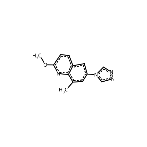 COc1ccc2cc(-n3cnnc3)cc(C)c2n1